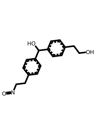 O=NCCc1ccc(C(O)c2ccc(CCO)cc2)cc1